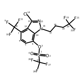 O=S(=O)(Oc1ccc(C(F)(F)F)c2c(Cl)nn(CCCC(F)(F)F)c12)C(F)(F)F